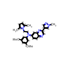 COc1cc(OC)cc(N(CCn2c(C)ccc2C)c2ccc3ncc(-c4cnn(C)c4)nc3c2)c1